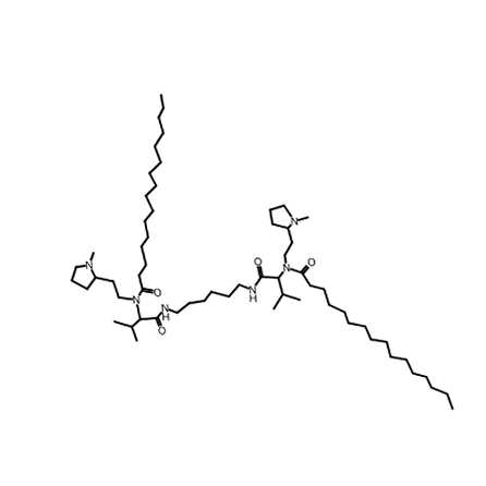 CCCCCCCCCCCCCCCC(=O)N(CCC1CCCN1C)C(C(=O)NCCCCCCNC(=O)C(C(C)C)N(CCC1CCCN1C)C(=O)CCCCCCCCCCCCCCC)C(C)C